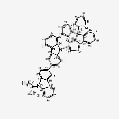 CC(C)n1c2ccccc2c2cc(-c3ccc4c(c3)c3ccccc3n4-c3ccc4c(c3)C(c3ccccc3)(c3ccccc3)c3ccccc3-4)ccc21